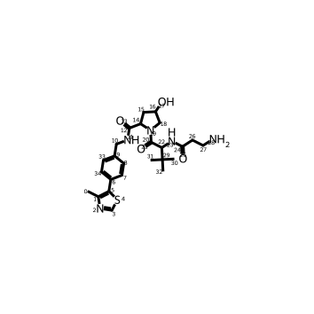 Cc1ncsc1-c1ccc(CNC(=O)C2CC(O)CN2C(=O)C(NC(=O)CCN)C(C)(C)C)cc1